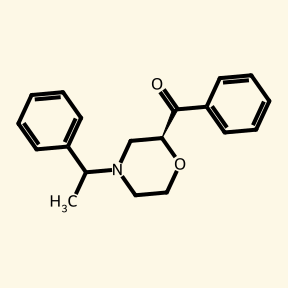 CC(c1ccccc1)N1CCO[C@H](C(=O)c2ccccc2)C1